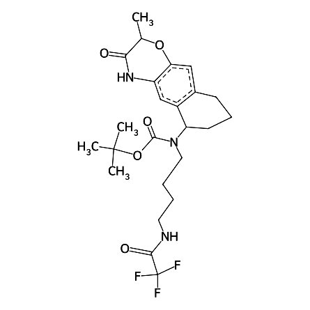 CC1Oc2cc3c(cc2NC1=O)C(N(CCCCNC(=O)C(F)(F)F)C(=O)OC(C)(C)C)CCC3